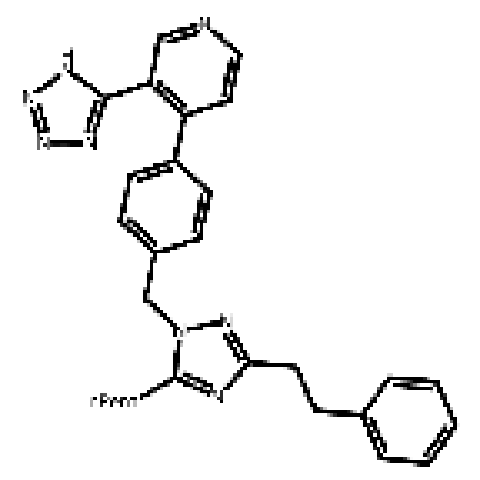 CCCCCc1nc(CCc2ccccc2)nn1Cc1ccc(-c2ccncc2-c2nnn[nH]2)cc1